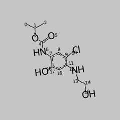 CC(C)OC(=O)Nc1cc(Cl)c(NCCO)cc1O